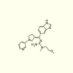 COCCN(C)/C(N)=N/C(=C1/CCN(c2cccnc2)C1)c1ccc2[nH]cnc2c1